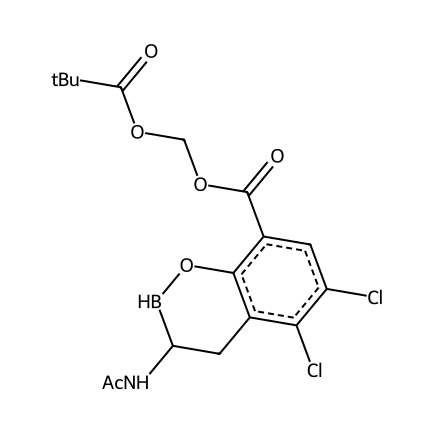 CC(=O)NC1BOc2c(C(=O)OCOC(=O)C(C)(C)C)cc(Cl)c(Cl)c2C1